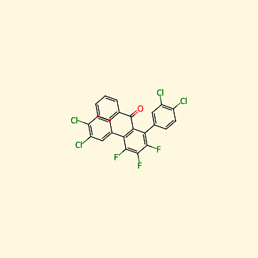 O=C(c1ccccc1)c1c(-c2ccc(Cl)c(Cl)c2)c(F)c(F)c(F)c1-c1ccc(Cl)c(Cl)c1